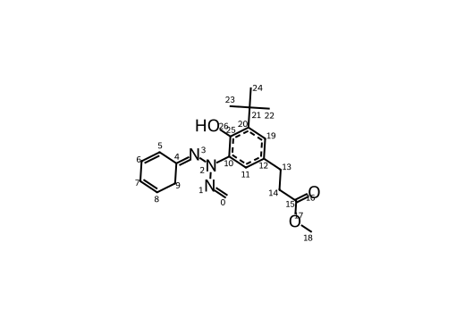 C=NN(/N=C1/C=CC=CC1)c1cc(CCC(=O)OC)cc(C(C)(C)C)c1O